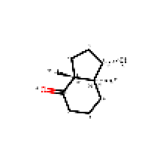 CC[C@H]1CC[C@H]2C(=O)CCC[C@]12C